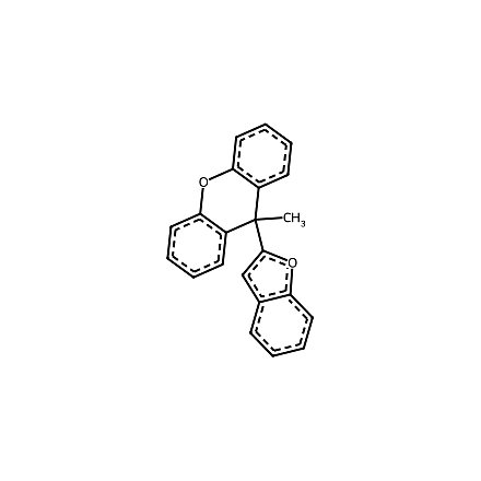 CC1(c2cc3ccccc3o2)c2ccccc2Oc2ccccc21